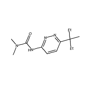 CCC(C)(CC)c1ccc(NC(=O)N(C)C)nn1